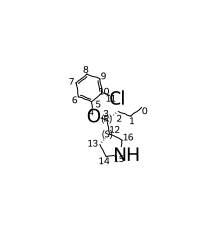 CCC[C@@H](Oc1ccccc1Cl)[C@H]1CCNC1